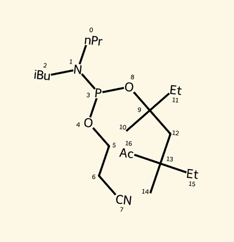 CCCN(C(C)CC)P(OCCC#N)OC(C)(CC)CC(C)(CC)C(C)=O